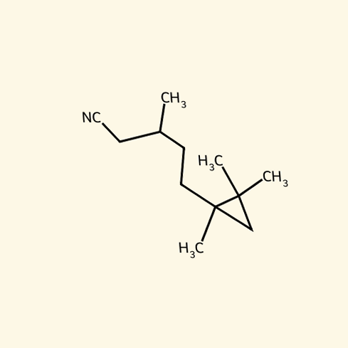 CC(CC#N)CCC1(C)CC1(C)C